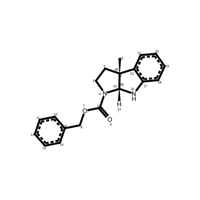 C[C@]12CCN(C(=O)OCc3ccccc3)[C@H]1Nc1ccccc12